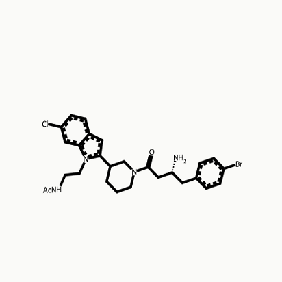 CC(=O)NCCn1c(C2CCCN(C(=O)C[C@H](N)Cc3ccc(Br)cc3)C2)cc2ccc(Cl)cc21